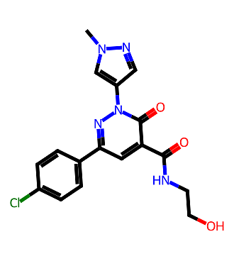 Cn1cc(-n2nc(-c3ccc(Cl)cc3)cc(C(=O)NCCO)c2=O)cn1